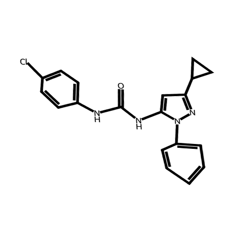 O=C(Nc1ccc(Cl)cc1)Nc1cc(C2CC2)nn1-c1ccccc1